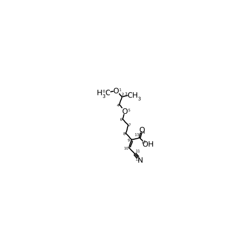 COC(C)COCCCC(=CC#N)C(=O)O